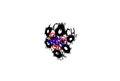 Cc1cccc(C)c1OP1(Oc2ccccc2)=N[PH](Oc2ccccc2)(Oc2c(C)cccc2C)N[PH](Oc2ccccc2)(Oc2c(C)cccc2C)N1